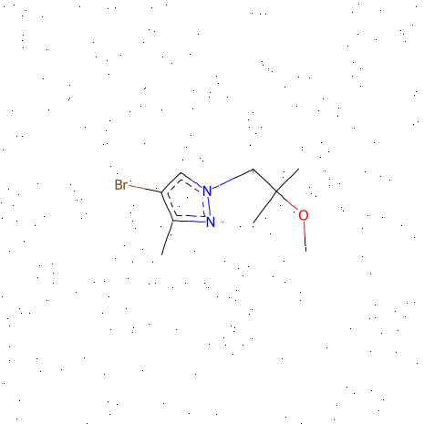 COC(C)(C)Cn1cc(Br)c(C)n1